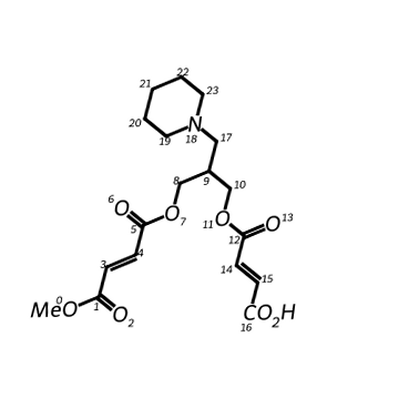 COC(=O)/C=C/C(=O)OCC(COC(=O)/C=C/C(=O)O)CN1CCCCC1